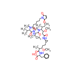 CC[C@H](C)C(C(CC(=O)NC1C[C@H]1CCC(OC)C(C)C(=O)NC(Cc1ccccc1)C(=O)O)OC)N(C)C(=O)[C@@H](NC(=O)C(C(C)C)N(C)C(=O)CCCCCN1C(=O)C=CC1=O)C(C)C